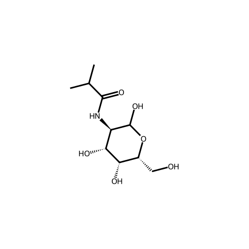 CC(C)C(=O)N[C@H]1C(O)O[C@H](CO)[C@H](O)[C@@H]1O